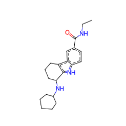 CCNC(=O)c1ccc2[nH]c3c(c2c1)CCCC3NC1CCCCC1